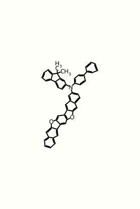 CC1(C)c2ccccc2-c2ccc(N(c3ccc(-c4ccccc4)cc3)c3ccc4cc5oc6cc7c(cc6c5cc4c3)oc3cc4ccccc4cc37)cc21